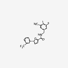 Cc1c(F)cc(CNC(=O)c2ccc(-c3cccc(C(F)(F)F)c3)o2)cc1C#N